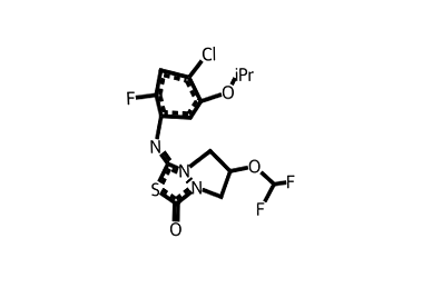 CC(C)Oc1cc(/N=c2/sc(=O)n3n2CC(OC(F)F)C3)c(F)cc1Cl